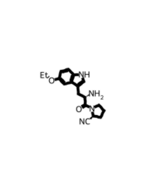 CCOc1ccc2[nH]cc(C[C@H](N)C(=O)N3CCC[C@H]3C#N)c2c1